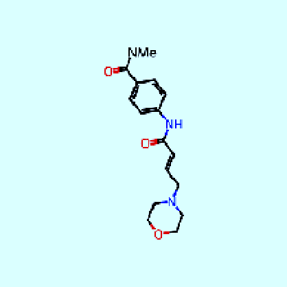 CNC(=O)c1ccc(NC(=O)/C=C/CN2CCOCC2)cc1